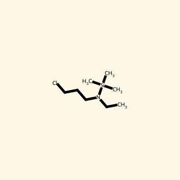 CCN(CCCCl)[Si](C)(C)C